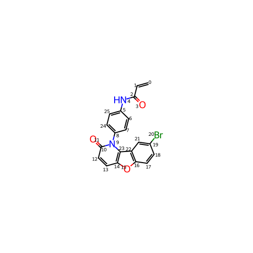 C=CC(=O)Nc1ccc(-n2c(=O)ccc3oc4ccc(Br)cc4c32)cc1